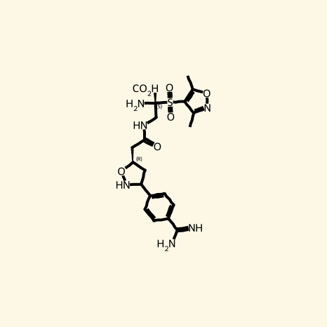 Cc1noc(C)c1S(=O)(=O)[C@@](N)(CNC(=O)C[C@H]1CC(c2ccc(C(=N)N)cc2)NO1)C(=O)O